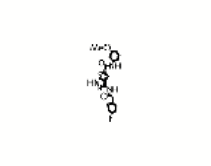 COc1cccc(NC(=O)c2cc3c(NC(=O)Cc4ccc(F)cc4)n[nH]c3s2)c1